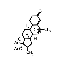 C=C1C[C@H]2[C@@H]3C=C(C(F)(F)F)C4=CC(=O)CC[C@]4(C)[C@H]3CC[C@]2(C)[C@]1(OC(C)=O)C(C)=O